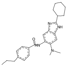 CCCc1ccc(C(=O)Nc2cc3nc(C4CCCCC4)[nH]c3cc2N(C)C)cc1